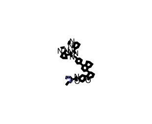 C=C/C=C(\C=C/C)c1nc2cc3c(cc2o1)oc1cccc(-c2ccc(-c4ccc(-c5nc(-c6cccc7nccnc67)nc(-c6cccc7nccnc67)n5)cc4)c4ccccc24)c13